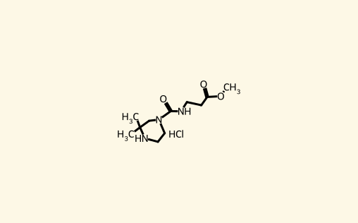 COC(=O)CCNC(=O)N1CCNC(C)(C)C1.Cl